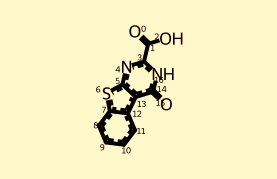 O=C(O)c1nc2sc3ccccc3c2c(=O)[nH]1